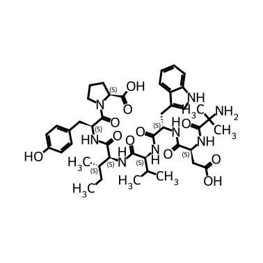 CC[C@H](C)[C@H](NC(=O)[C@@H](NC(=O)[C@H](Cc1c[nH]c2ccccc12)NC(=O)[C@H](CC(=O)O)NC(=O)C(C)(C)N)C(C)C)C(=O)N[C@@H](Cc1ccc(O)cc1)C(=O)N1CCC[C@H]1C(=O)O